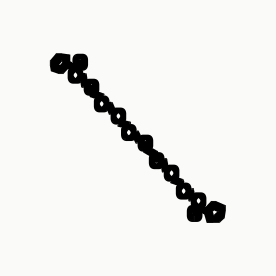 O=C(OCCOCCOCCOCCOCCOCCOCCOCCOCCOC(=O)c1ccccc1)c1ccccc1